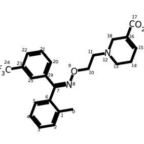 Cc1ccccc1C(=NOCCN1CCC=C(C(=O)O)C1)c1cccc(C(F)(F)F)c1